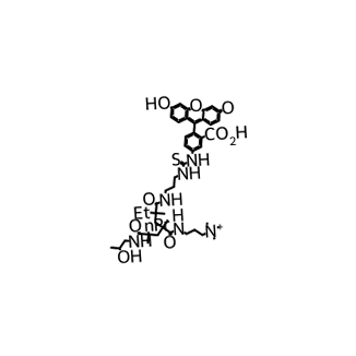 CCCC(C)(CC(C)(CC(C)(CC)C(=O)NCCCNC(=S)Nc1ccc(-c2c3ccc(=O)cc-3oc3cc(O)ccc23)c(C(=O)O)c1)C(=O)NCCC[N+](C)(C)C)C(=O)NCC(C)O